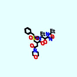 CCc1nc(C(=O)[C@H](CC)NC(=O)C(CC(=O)N2CCOCC2)CS(=O)(=O)Cc2ccccc2)no1